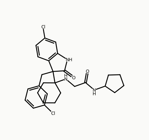 O=C(CNC1(C2(Cc3cccc(Cl)c3)C(=O)Nc3cc(Cl)ccc32)CCCCC1)NC1CCCC1